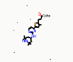 COC(=O)CCc1sc(-c2ccnc(NC3CC(C)(C)NC(C)(C)C3)n2)cc1C